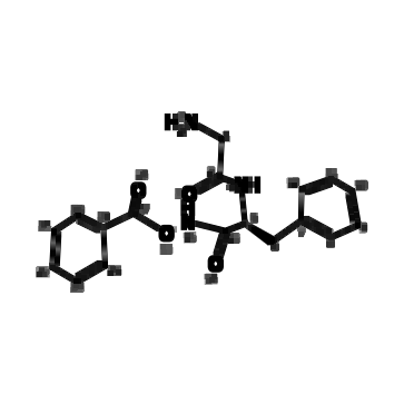 NCC(=O)N[C@@H](Cc1ccccc1)C(=O)NOC(=O)c1ccccc1